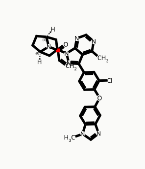 C=CC(=O)N1[C@@H]2CC[C@H]1CC(n1nc(-c3ccc(Oc4ccc5c(c4)ncn5C)c(Cl)c3)c3c(C)ncnc31)C2